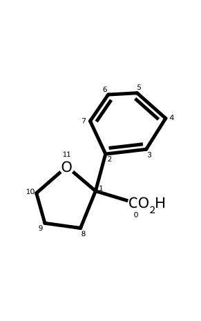 O=C(O)C1(c2ccccc2)CCCO1